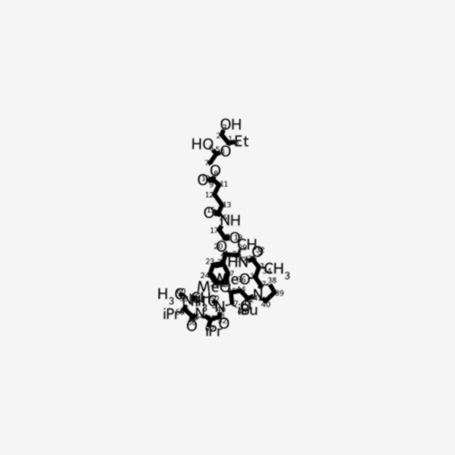 CCC(CO)OC(O)COC(=O)CCCC(=O)NCC(=O)OC(c1ccccc1)[C@@H](C)NC(=O)[C@H](C)[C@@H](OC)[C@@H]1CCCN1C(=O)C[C@@H](OC)[C@H]([C@@H](C)CC)N(C)C(=O)C(NC(=O)[C@H](C(C)C)N(C)C)C(C)C